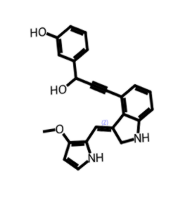 COc1cc[nH]c1/C=C1\CNc2cccc(C#CC(O)c3cccc(O)c3)c21